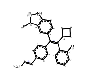 O=C(O)/C=C/c1ccc(/C(=C(\c2ccccc2Cl)C2CCC2)c2ccc3c(c2)C(F)NN3)cc1